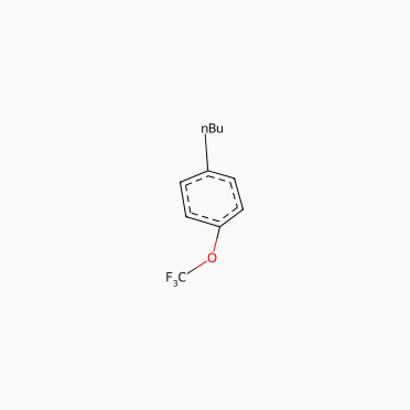 [CH2]CCCc1ccc(OC(F)(F)F)cc1